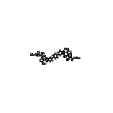 COC(=O)N[C@H](C(=O)N1CC[C@@H](O)[C@H]1c1nc2ccc(-c3ccc(-c4ccc5nc([C@@H]6[C@H](O)CCN6C(=O)[C@@H](NC(=O)OC)C(C)C)[nH]c5c4)cc3)cc2[nH]1)C(C)C